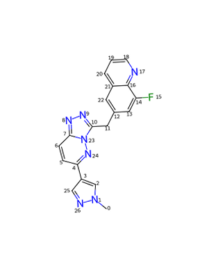 Cn1cc(-c2ccc3nnc(Cc4cc(F)c5ncccc5c4)n3n2)cn1